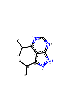 CC(C)c1ncnc2[nH]nc(C(C)C)c12